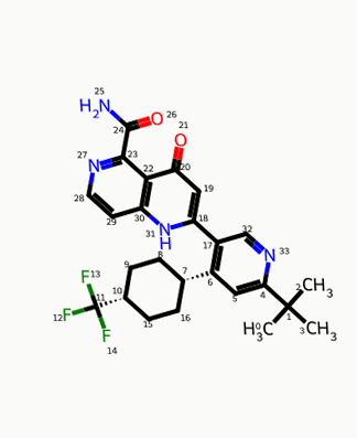 CC(C)(C)c1cc([C@H]2CC[C@@H](C(F)(F)F)CC2)c(-c2cc(=O)c3c(C(N)=O)nccc3[nH]2)cn1